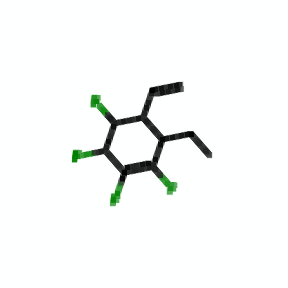 C=CC1C(CC)C(F)=C(F)C(F)C1F